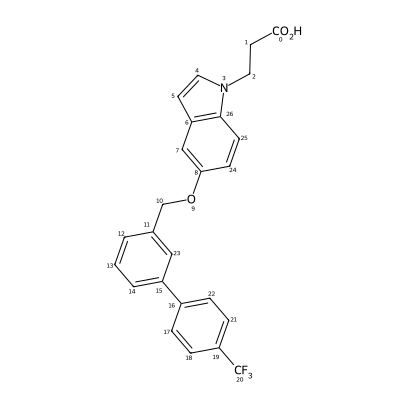 O=C(O)CCn1ccc2cc(OCc3cccc(-c4ccc(C(F)(F)F)cc4)c3)ccc21